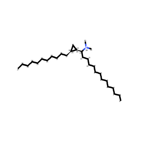 CCCCCCCCCCCCCC([C@@H]1C[C@@H]1CCCCCCCCCCC)N(C)C